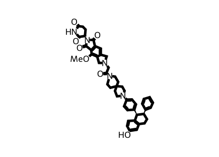 COc1c2c(cc3c1C(=O)N(C1CCC(=O)NC1=O)C3=O)CN(CC(=O)N1CCC3(CC1)CCN(c1ccc([C@@H]4c5ccc(O)cc5CC[C@@H]4c4ccccc4)cc1)CC3)C2